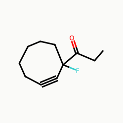 CCC(=O)C1(F)C#CCCCCC1